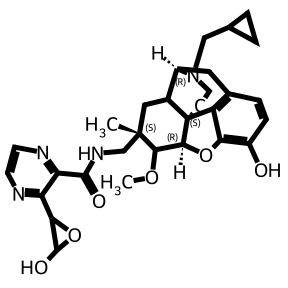 COC1[C@@H]2Oc3c(O)ccc4c3[C@@]23CCN(CC2CC2)[C@H](C4)C3C[C@@]1(C)CNC(=O)c1nccnc1C1OC1O